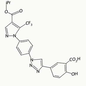 CC(C)OC(=O)c1cnn(-c2ccc(-n3cc(-c4ccc(O)c(C(=O)O)c4)nn3)cc2)c1C(F)(F)F